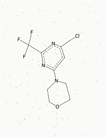 FC(F)(F)c1nc(Cl)cc(N2CCOCC2)n1